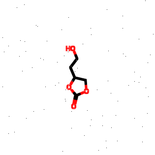 O=C1OCC(CCO)O1